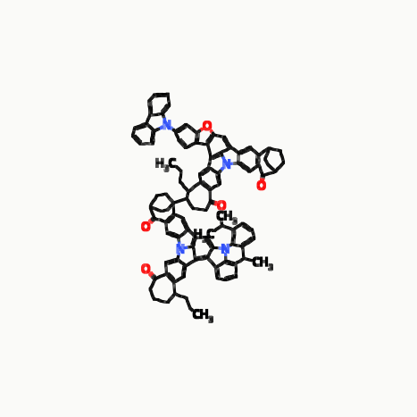 CCCC1CCCC(=O)c2cc3c(cc21)c1c2c4cccc5c4n(c2cc2c4cc6c(cc4n3c21)C(=O)C1CCC6(C2CCC(=O)c3cc4c(cc3C2CCC)c2c3c(cc6c7cc8c(cc7n4c62)C(=O)C2CCC8CC2)oc2cc(-n4c6ccccc6c6ccccc64)ccc23)CC1)-c1c(C(C)C)cccc1C5C